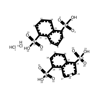 Cl.Cl.O=S(=O)(O)c1cccc2c(S(=O)(=O)O)cccc12.O=S(=O)(O)c1cccc2c(S(=O)(=O)O)cccc12